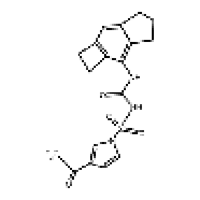 O=C(Nc1c2c(cc3c1CC3)CCC2)NS(=O)(=O)n1ccc(C(=O)C(F)(F)F)c1